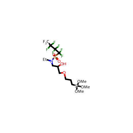 CCN(CC(O)COCCC[Si](OC)(OC)OC)S(=O)(=O)C(F)(F)C(F)(F)C(F)(F)C(F)(F)F